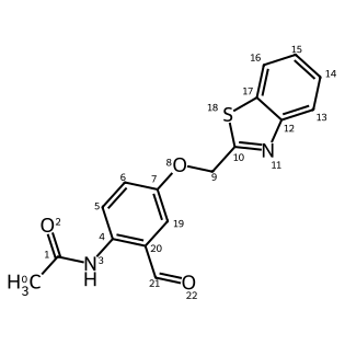 CC(=O)Nc1ccc(OCc2nc3ccccc3s2)cc1C=O